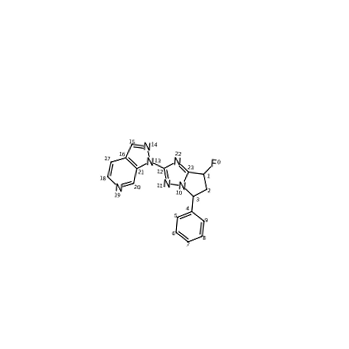 FC1CC(c2ccccc2)n2nc(-n3ncc4ccncc43)nc21